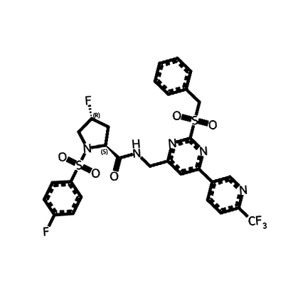 O=C(NCc1cc(-c2ccc(C(F)(F)F)nc2)nc(S(=O)(=O)Cc2ccccc2)n1)[C@@H]1C[C@@H](F)CN1S(=O)(=O)c1ccc(F)cc1